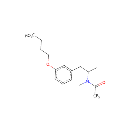 CC(Cc1cccc(OCCCC(=O)O)c1)N(C)C(=O)C(F)(F)F